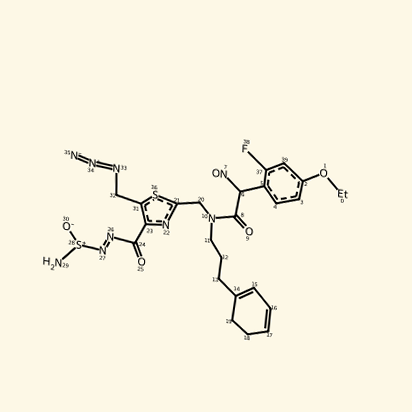 CCOc1ccc(C(N=O)C(=O)N(CCCC2=CC=CCC2)Cc2nc(C(=O)N=N[S+](N)[O-])c(CN=[N+]=[N-])s2)c(F)c1